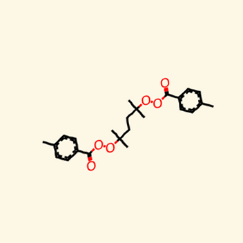 Cc1ccc(C(=O)OOC(C)(C)CCC(C)(C)OOC(=O)c2ccc(C)cc2)cc1